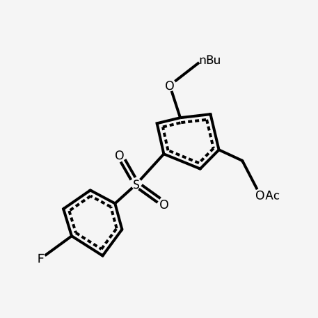 CCCCOc1cc(COC(C)=O)cc(S(=O)(=O)c2ccc(F)cc2)c1